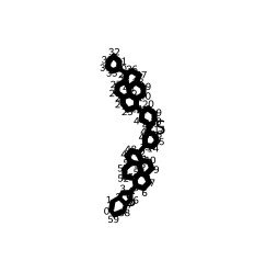 C1=CC2C=C(c3ccc4ccc5c(-c6ccc7sc8ccc(-c9ccc%10ccc%11c(-c%12ccccc%12)ccc%12ccc9c%10c%12%11)cc8c7c6)ccc6ccc3c4c65)SC2C=C1